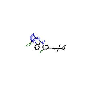 CN(c1cc(F)cc(C#CC(C)(C)C2CC2)c1)c1nc2nnc(Cl)n2c2ccccc12